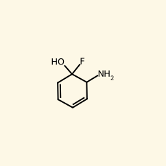 NC1C=CC=CC1(O)F